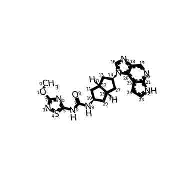 COc1nsc(NC(=O)N[C@H]2C[C@@H]3C[C@@H](n4cnc5cnc6[nH]ccc6c54)C[C@@H]3C2)n1